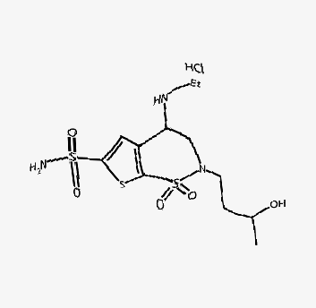 CCNC1CN(CCC(C)O)S(=O)(=O)c2sc(S(N)(=O)=O)cc21.Cl